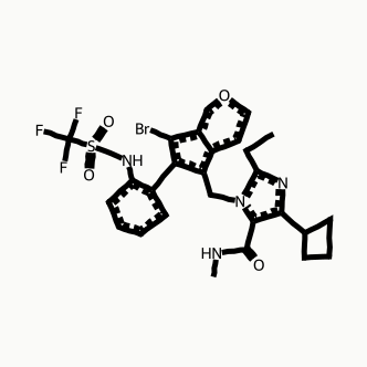 CCc1nc(C2CCC2)c(C(=O)NC)n1Cc1c2ccocc-2c(Br)c1-c1ccccc1NS(=O)(=O)C(F)(F)F